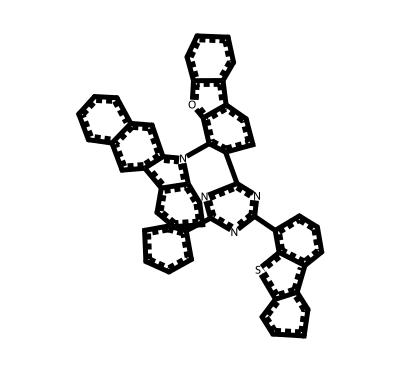 c1ccc(-c2nc(-c3ccc4c(oc5ccccc54)c3-n3c4ccccc4c4cc5ccccc5cc43)nc(-c3cccc4c3sc3ccccc34)n2)cc1